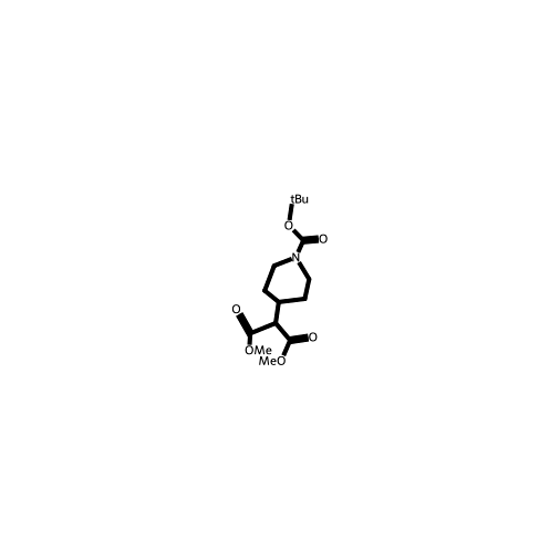 COC(=O)C(C(=O)OC)C1CCN(C(=O)OC(C)(C)C)CC1